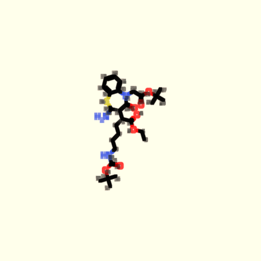 CCOC(=O)[C@@H](CCCCNC(=O)OC(C)(C)C)[C@@H]1C(=O)N(CC(=O)OC(C)(C)C)c2ccccc2SC1N